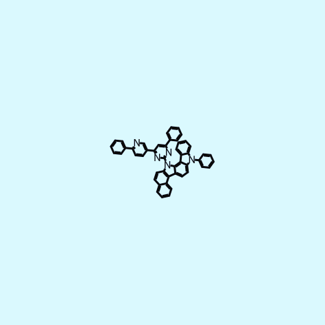 c1ccc(-c2ccc(-c3cc(-c4ccccc4)nc(-n4c5ccc6ccccc6c5c5ccc6c(c7ccccc7n6-c6ccccc6)c54)n3)cn2)cc1